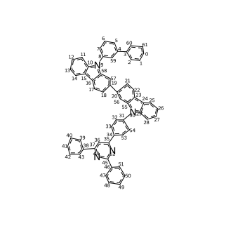 c1ccc(-c2cccc(-n3c4ccccc4c4ccc(-c5ccc6c7ccccc7n(-c7ccc(-c8cc(-c9ccccc9)nc(-c9ccccc9)n8)cc7)c6c5)cc43)c2)cc1